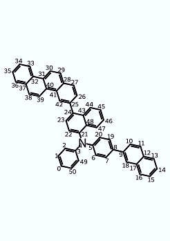 c1ccc(N(c2ccc(-c3ccc4ccccc4c3)cc2)c2ccc(-c3ccc4ccc5c6ccccc6ccc5c4c3)c3ccccc23)cc1